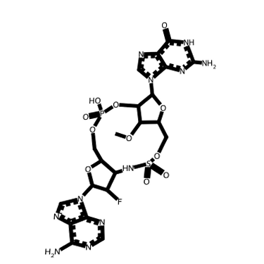 COC1C2COS(=O)(=O)NC3C(COP(=O)(O)OC1C(n1cnc4c(=O)[nH]c(N)nc41)O2)OC(n1cnc2c(N)ncnc21)C3F